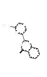 CNc1cncc(-c2nc(=O)c3ccccc3s2)n1